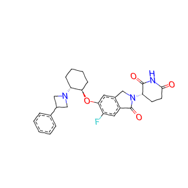 O=C1CC[C@H](N2Cc3cc(O[C@@H]4CCCC[C@H]4N4CC(c5ccccc5)C4)c(F)cc3C2=O)C(=O)N1